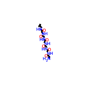 C=C(C)CNC(=O)CNC(=O)CNC(=O)CNC(=O)CNC(=O)CNC(=O)CN